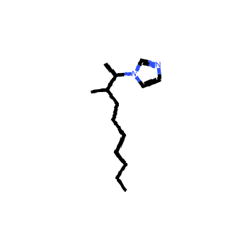 CCCCCCCC(C)C(C)n1ccnc1